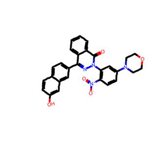 O=c1c2ccccc2c(-c2ccc3ccc(O)cc3c2)nn1-c1cc(N2CCOCC2)ccc1[N+](=O)[O-]